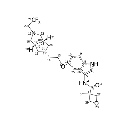 CC1(C(=O)Nc2c[nH]c3ccc(OCC[C@@H]4C[C@@H]5CN(CC(F)(F)F)C[C@@H]5C4)cc23)COC1